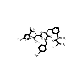 C=C(C#N)C(=O)N(C)c1cccc(C[C@H](NC(=O)[C@@H](NC(=O)c2cc(C)on2)[C@@H](C)O)C(=O)NCc2ccc(C)cc2)c1